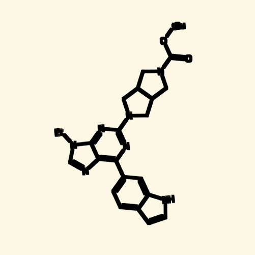 CCn1cnc2c(-c3ccc4cc[nH]c4c3)nc(N3CC4CN(C(=O)OC(C)(C)C)CC4C3)nc21